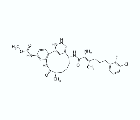 COC(=O)Nc1ccc2c(c1)NC(=O)C(C)CCC[C@@H](NC(=O)/C(N)=C(\C)CCCc1cccc(Cl)c1F)C1=CNNC2=C1